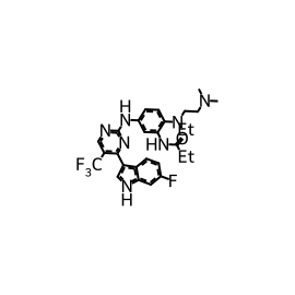 CCC(=O)Nc1cc(Nc2ncc(C(F)(F)F)c(-c3c[nH]c4cc(F)ccc34)n2)ccc1N(CC)CCN(C)C